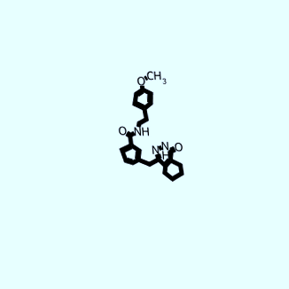 COc1ccc(CCNC(=O)c2cccc(Cc3n[nH]c(=O)c4c3CCCC4)c2)cc1